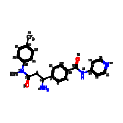 CCN(C(=O)CC(N)c1ccc(C(=O)Nc2ccncc2)cc1)c1ccc(C(F)(F)F)cc1